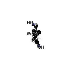 CC[C@H](C)[C@@H](C(=O)N[C@@H](Cc1ccccc1)[C@H](O)CN(CC(C)C)S(=O)(=O)c1ccc(/C=N/O)cc1)N1CCN(Cc2ccnc(/C(C)=N/O)c2)C1=O